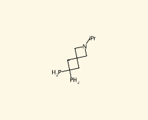 CC(C)N1CC2(C1)CC(P)(P)C2